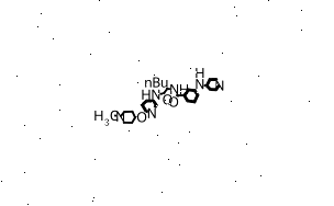 CCCCC(NC(=O)c1cccc(Nc2ccncc2)c1)C(=O)Nc1ccc(OC2CCN(C)CC2)nc1